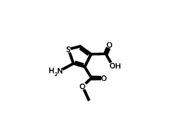 COC(=O)c1c(C(=O)O)csc1N